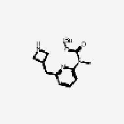 CN(C(=O)OC(C)(C)C)c1cccc(CC2CNC2)n1